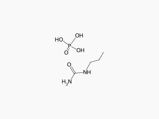 CCCNC(N)=O.O=P(O)(O)O